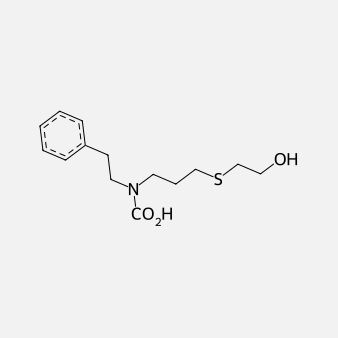 O=C(O)N(CCCSCCO)CCc1ccccc1